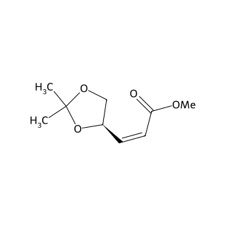 COC(=O)/C=C\[C@@H]1COC(C)(C)O1